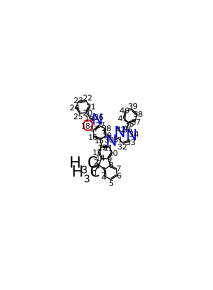 CC1(C)c2ccccc2-c2cc3c(cc21)c1cc2oc(-c4ccccc4)nc2cc1n3-c1ccnc(-c2ccccc2)n1